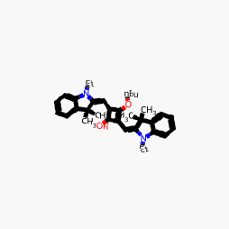 CCCCOC1=C(C=C2N(CC)c3ccccc3C2(C)C)C(O)C1C=C1N(CC)c2ccccc2C1(C)C